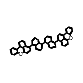 c1ccc2c(c1)Oc1ccc(-c3cccc4c(-c5cccc6c(-c7ccc8c9c(cccc79)Oc7ccccc7-8)cccc56)cccc34)c3cccc-2c13